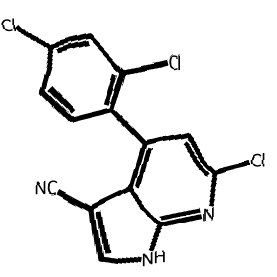 N#Cc1c[nH]c2nc(Cl)cc(-c3ccc(Cl)cc3Cl)c12